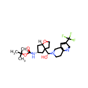 CC(C)(C)OC(=O)N[C@@H]1C[C@H]2OCCC2([C@@H](O)N2CCc3ncc(C(F)(F)F)cc3C2)C1